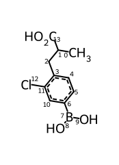 CC(Cc1ccc(B(O)O)cc1Cl)C(=O)O